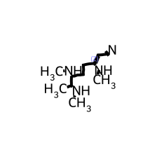 CN/C(=C\C#N)CCC(NC)C(C)NC